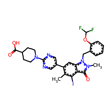 Cc1c(-c2cnc(N3CCC(C(=O)O)CC3)nc2)cc2c(c1I)c(=O)n(C)n2Cc1ccccc1OC(F)F